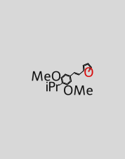 COc1cc(C=Cc2ccco2)cc(OC)c1C(C)C